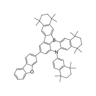 CC1(C)CCC(C)(C)c2cc(N3c4cc5c(cc4B4c6cc7c(cc6-c6cc(-c8ccc9c(c8)oc8ccccc89)cc3c64)C(C)(C)CCC7(C)C)C(C)(C)CCC5(C)C)ccc21